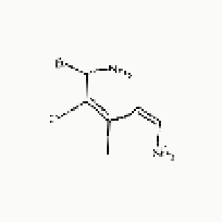 CCC(N)/C(Cl)=C(C)\C=C/N